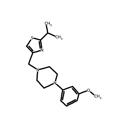 COc1cccc(N2CCN(Cc3csc(C(C)C)n3)CC2)c1